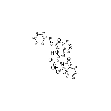 O=C(O)C(C1NC(C(=O)OCc2ccccc2)C2(CCSC2)S1)N1C(=O)c2ccccc2C1=O